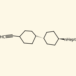 C#CC1CCC([C@H]2CC[C@H](CCCCCCC)CC2)CC1